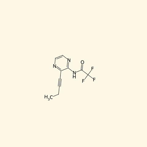 CCC#Cc1nccnc1NC(=O)C(F)(F)F